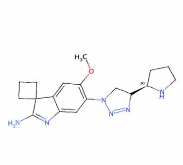 COc1cc2c(cc1N1CC([C@H]3CCCN3)N=N1)N=C(N)C21CCC1